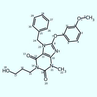 COc1cccc(Oc2nc3c(c(=O)n(CCCO)c(=O)n3C)n2Cc2ccccc2)c1